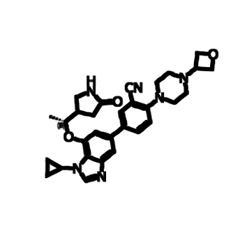 C[C@@H](Oc1cc(-c2ccc(N3CCN(C4COC4)CC3)c(C#N)c2)cc2ncn(C3CC3)c12)C1CNC(=O)C1